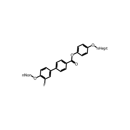 CCCCCCCCCOc1ccc(-c2ccc(C(=O)Oc3ccc(OCCCCCCC)cc3)cc2)cc1F